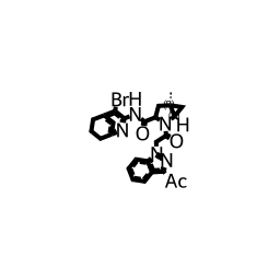 CC(=O)c1nn(CC(=O)N2C(C(=O)Nc3nc4cc(c3Br)CCC4)C[C@@]3(C)C[C@@H]23)c2ccccc12